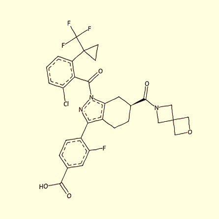 O=C(O)c1ccc(-c2nn(C(=O)c3c(Cl)cccc3C3(C(F)(F)F)CC3)c3c2CC[C@H](C(=O)N2CC4(COC4)C2)C3)c(F)c1